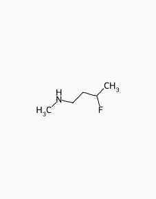 CNCCC(C)F